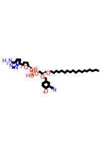 CCCCCCCCCCCCCCCCCCOC[C@H](COP(=O)(O)OC[C@@H]1CC[C@](C)(c2ccc3c(N)ncnn23)O1)OCc1ccc(OC)c(C#N)c1